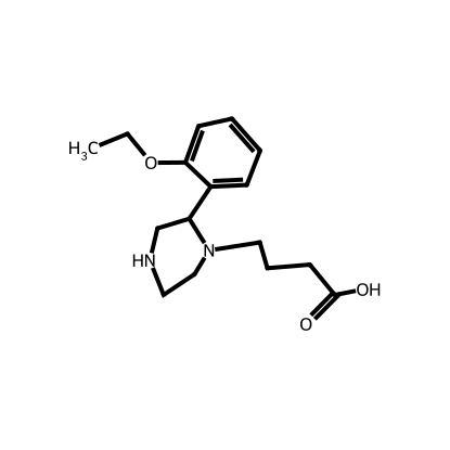 CCOc1ccccc1C1CNCCN1CCCC(=O)O